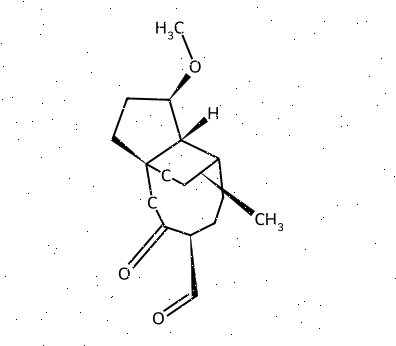 CO[C@@H]1CC[C@@]23CC[C@@H](C)C(CC[C@@H](C=O)C(=O)C2)[C@@H]13